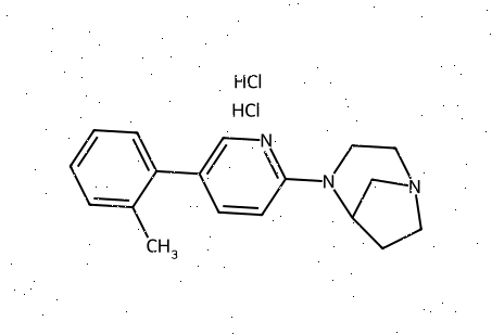 Cc1ccccc1-c1ccc(N2CCN3CCC2C3)nc1.Cl.Cl